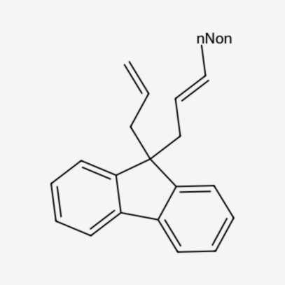 C=CCC1(C/C=C/CCCCCCCCC)c2ccccc2-c2ccccc21